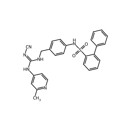 Cc1cc(N/C(=N/C#N)NCc2ccc(NS(=O)(=O)c3ccccc3-c3ccccc3)cc2)ccn1